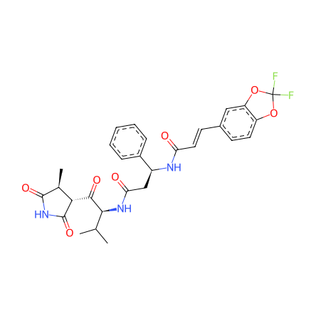 CC(C)[C@H](NC(=O)C[C@H](NC(=O)/C=C/c1ccc2c(c1)OC(F)(F)O2)c1ccccc1)C(=O)[C@@H]1C(=O)NC(=O)[C@H]1C